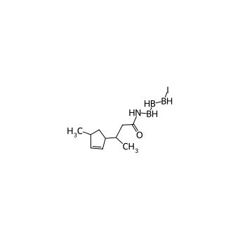 CC1C=CC(C(C)CC(=O)NBBBI)C1